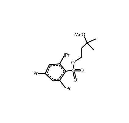 COC(C)(C)CCOS(=O)(=O)c1c(C(C)C)cc(C(C)C)cc1C(C)C